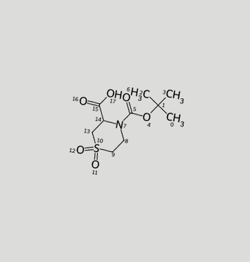 CC(C)(C)OC(=O)N1CCS(=O)(=O)CC1C(=O)O